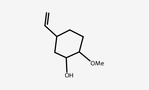 C=CC1CCC(OC)C(O)C1